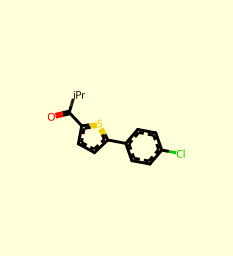 CC(C)C(=O)c1ccc(-c2ccc(Cl)cc2)s1